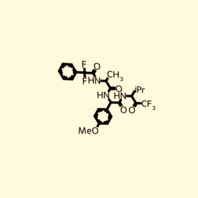 COc1ccc(C(NC(=O)C(C)NC(=O)C(F)(F)c2ccccc2)C(=O)NC(C(=O)C(F)(F)F)C(C)C)cc1